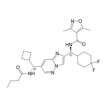 CCCC(=O)N[C@@H](c1cnn2cc([C@@H](NC(=O)c3c(C)noc3C)C3CCC(F)(F)CC3)nc2c1)C1CCC1